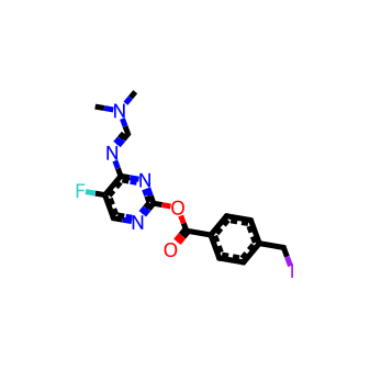 CN(C)/C=N/c1nc(OC(=O)c2ccc(CI)cc2)ncc1F